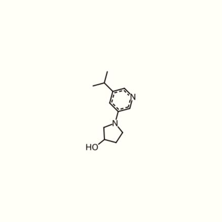 CC(C)c1cncc(N2CCC(O)C2)c1